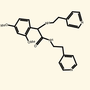 COc1ccc(C(NCCc2ccncc2)C(=O)NCCc2ccncc2)c(OC)c1